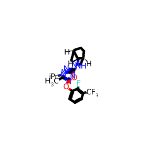 Cc1noc(N2C[C@H]3CC[C@@H](C2)[C@@H]3Nc2nc(Oc3cccc(C(F)(F)F)c3F)n(C(C)C)n2)n1